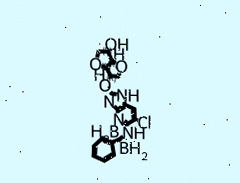 BC(B)(Nc1nc2nc(O[C@@H]3CO[C@H]4[C@@H]3OC[C@H]4O)[nH]c2cc1Cl)c1ccccc1